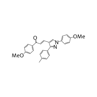 COc1ccc(C(=O)C=Cc2cn(-c3ccc(OC)cc3)nc2-c2ccc(C)cc2)cc1